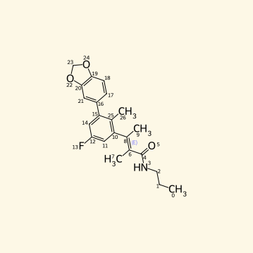 CCCNC(=O)/C(C)=C(\C)c1cc(F)cc(-c2ccc3c(c2)OCO3)c1C